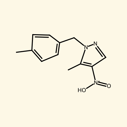 Cc1ccc(Cn2ncc([N+](=O)O)c2C)cc1